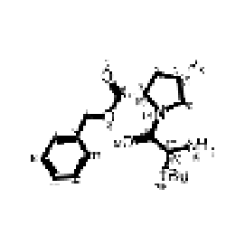 C[C@H]1C[C@@H](C(=O)OCc2ccccc2)N(C(=O)[C@@H](N)C(C)(C)C)C1